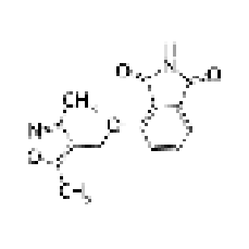 Cc1noc(C)c1COc1cccc2c1C(=O)NC2=O